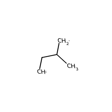 [CH]CC([CH2])C